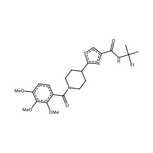 CCC(C)(C)NC(=O)c1csc(C2CCN(C(=O)c3ccc(OC)c(OC)c3OC)CC2)n1